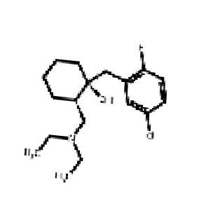 CCN(CC)C[C@H]1CCCC[C@]1(O)Cc1cc(Cl)ccc1F